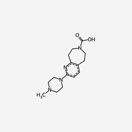 CN1CCN(c2ccc3c(n2)CCN(C(=O)O)CC3)CC1